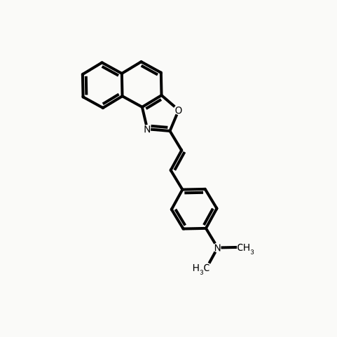 CN(C)c1ccc(C=Cc2nc3c(ccc4ccccc43)o2)cc1